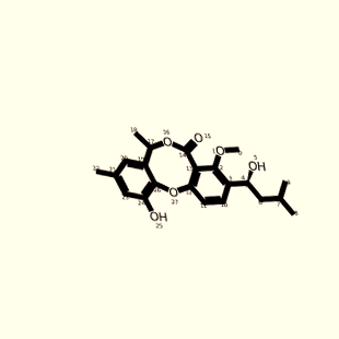 COc1c([C@@H](O)CC(C)C)ccc2c1C(=O)OC(C)c1cc(C)cc(O)c1O2